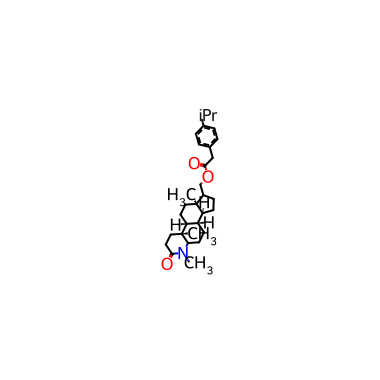 CC(C)c1ccc(CC(=O)OCC2CC[C@H]3[C@@H]4CCC5N(C)C(=O)CC[C@]5(C)[C@@H]4CC[C@]23C)cc1